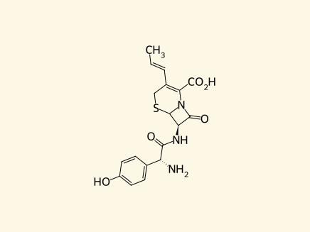 C/C=C/C1=C(C(=O)O)N2C(=O)[C@@H](NC(=O)[C@H](N)c3ccc(O)cc3)C2SC1